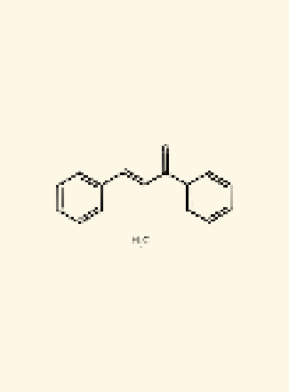 O.O=C(/C=C/c1ccccc1)c1ccccc1